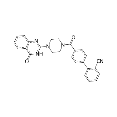 N#Cc1ccccc1-c1ccc(C(=O)N2CCN(c3nc4ccccc4c(=O)[nH]3)CC2)cc1